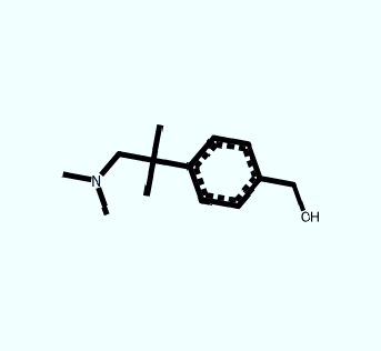 CN(C)CC(C)(C)c1ccc(CO)cc1